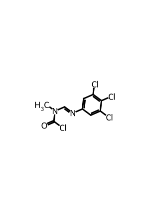 CN(C=Nc1cc(Cl)c(Cl)c(Cl)c1)C(=O)Cl